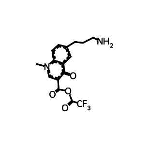 Cn1cc(C(=O)OC(=O)C(F)(F)F)c(=O)c2cc(CCCN)ccc21